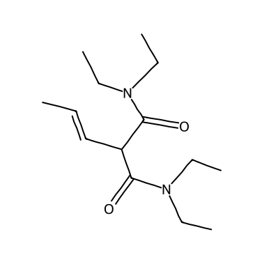 CC=CC(C(=O)N(CC)CC)C(=O)N(CC)CC